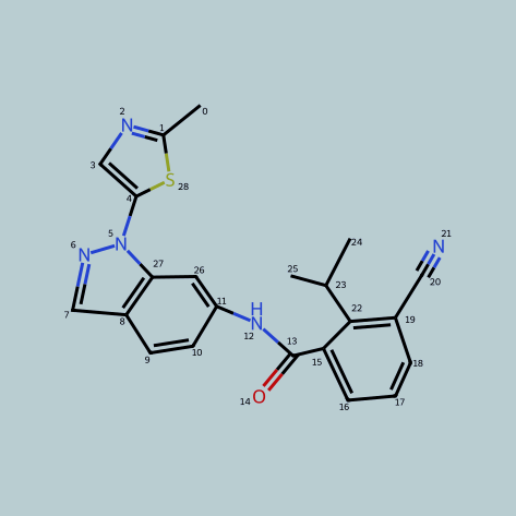 Cc1ncc(-n2ncc3ccc(NC(=O)c4cccc(C#N)c4C(C)C)cc32)s1